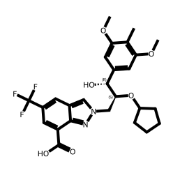 COc1cc([C@@H](O)[C@H](Cn2cc3cc(C(F)(F)F)cc(C(=O)O)c3n2)OC2CCCC2)cc(OC)c1C